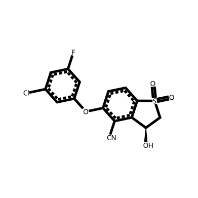 N#Cc1c(Oc2cc(F)cc(Cl)c2)ccc2c1[C@H](O)CS2(=O)=O